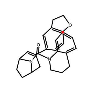 O=C(N1CCCc2ccccc21)N1C2C=C(c3ccc4c(c3)CCO4)CC1CC2